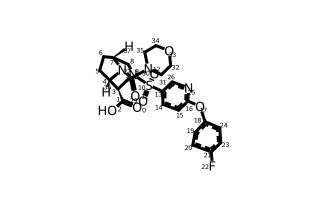 O=C(O)[C@H]1[C@@H]2CC[C@H](CN1S(=O)(=O)c1ccc(Oc3ccc(F)cc3)nc1)N2C(=O)N1CCOCC1